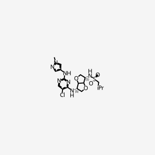 CC(C)CS(=O)(=O)N[C@H]1COC2C1OC[C@@H]2Nc1nc(Nc2cnn(C)c2)ncc1Cl